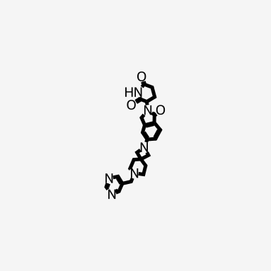 O=C1CCC(N2Cc3cc(N4CC5(CCN(Cc6cncnc6)CC5)C4)ccc3C2=O)C(=O)N1